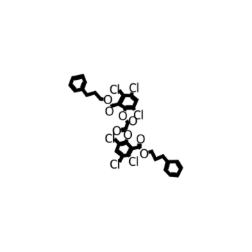 O=C(Oc1c(Cl)cc(Cl)c(Cl)c1C(=O)OCCCc1ccccc1)C(=O)Oc1c(Cl)cc(Cl)c(Cl)c1C(=O)OCCCc1ccccc1